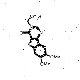 COc1cc2sc3c(=O)n(CC(=O)O)cnc3c2cc1OC